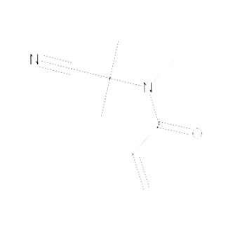 C=CC(=O)N(C)C(C)(C)C#N